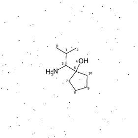 CC(C)C(N)C1(O)CCCC1